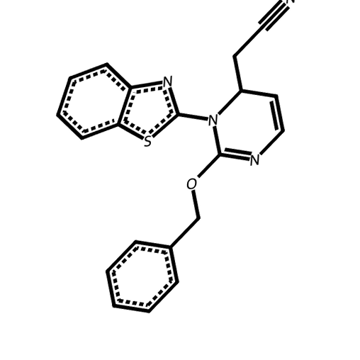 N#CCC1C=CN=C(OCc2ccccc2)N1c1nc2ccccc2s1